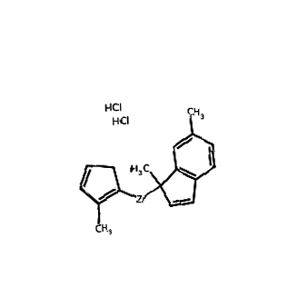 CC1=[C]([Zr][C]2(C)C=Cc3ccc(C)cc32)CC=C1.Cl.Cl